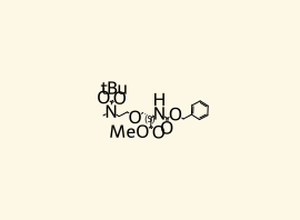 COC(=O)[C@H](COCCN(C)C(=O)OC(C)(C)C)NC(=O)OCc1ccccc1